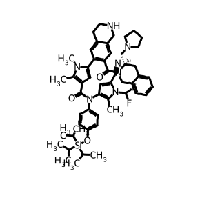 Cc1c(C(=O)N(c2ccc(O[Si](C(C)C)(C(C)C)C(C)C)cc2)c2cc(C#N)n(C(F)F)c2C)cc(-c2cc3c(cc2C(=O)N2Cc4ccccc4C[C@H]2CN2CCCC2)CNCC3)n1C